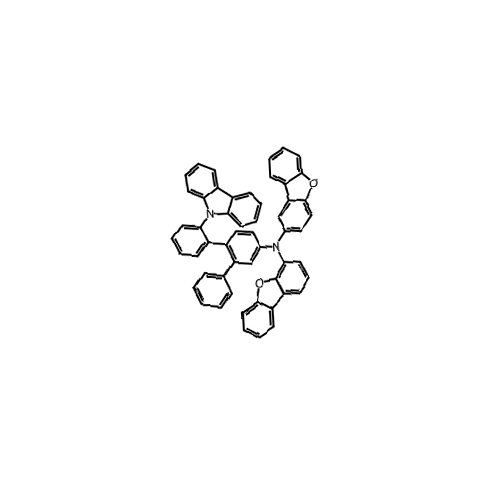 c1ccc(-c2cc(N(c3ccc4oc5ccccc5c4c3)c3cccc4c3oc3ccccc34)ccc2-c2ccccc2-n2c3ccccc3c3ccccc32)cc1